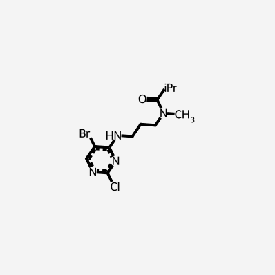 CC(C)C(=O)N(C)CCCNc1nc(Cl)ncc1Br